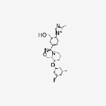 Cc1cc(F)cc(OC2CCCN3C(c4ccc(-n5cnc(C)c5)c(CO)c4)=NOCC23)c1